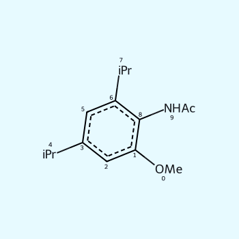 COc1cc(C(C)C)cc(C(C)C)c1NC(C)=O